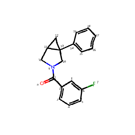 O=C(c1cccc(F)c1)N1CC2CC2(c2ccccc2)C1